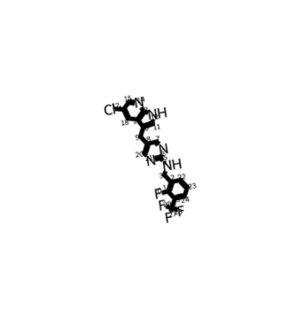 Fc1c(CNc2ncc(Cc3c[nH]c4ncc(Cl)cc34)cn2)cccc1C(F)(F)F